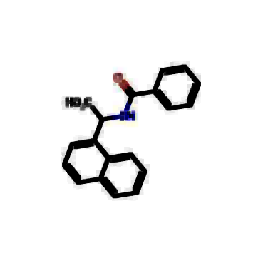 O=C(NC(C(=O)O)c1cccc2ccccc12)c1ccccc1